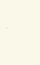 CCc1nc(-c2ccc(O[Si](C)(C)C(C)(C)C)cc2OC(C)C)c(CC)nc1OC(CC)CC